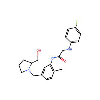 Cc1ccc(CN2CCCC2CO)cc1NC(=O)CNc1ccc(F)cc1